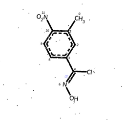 Cc1cc(/C(Cl)=N/O)ccc1[N+](=O)[O-]